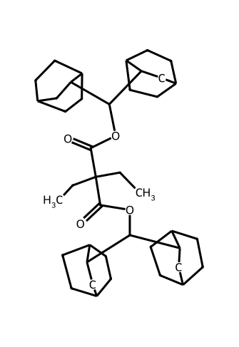 CCC(CC)(C(=O)OC(C1CC2CCC1CC2)C1CC2CCC1CC2)C(=O)OC(C1CC2CCC1CC2)C1CC2CCC1CC2